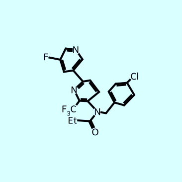 CCC(=O)N(Cc1ccc(Cl)cc1)c1ccc(-c2cncc(F)c2)nc1C(F)(F)F